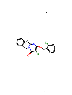 Cc1nc(OCc2ccccc2Cl)c(Br)c(=O)n1Cc1ccccc1